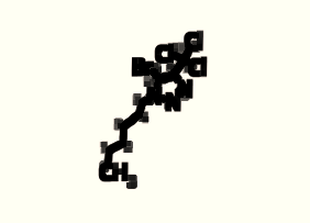 CCCCCCn1nnc(C(Cl)(Cl)Cl)c1Br